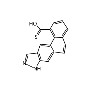 OC(=S)c1cccc2ccc3cc4[nH]ncc4cc3c12